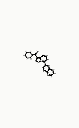 O=C(c1cnn2c(-c3ccc4ncccc4c3)cccc12)N1CCCCC1